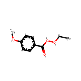 CCCOc1ccc(C(=O)OO[CH]C(C)(C)C)cc1